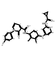 Cc1c(NC(=O)c2cccn(-c3ccc(F)cc3)c2=O)ccc(Oc2ccnc(NC(=O)C3CC3)c2)c1C